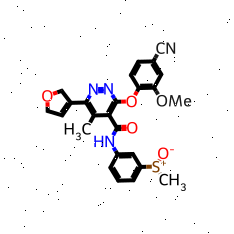 COc1cc(C#N)ccc1Oc1nnc(C2=CCOC2)c(C)c1C(=O)Nc1cccc([S+](C)[O-])c1